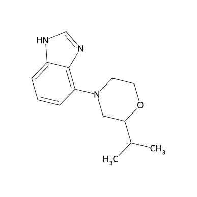 CC(C)C1CN(c2cccc3[nH]cnc23)CCO1